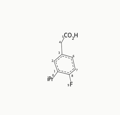 CC(C)c1cc(CC(=O)O)ccc1F